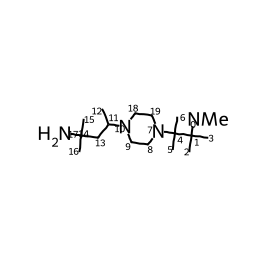 CNC(C)(C)C(C)(C)N1CCN(C(C)CC(C)(C)N)CC1